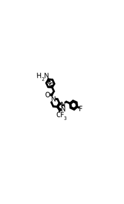 NC12CCC(CC(=O)N3CCc4c(C(F)(F)F)nn(Cc5ccc(F)cc5)c4C3)(CC1)CC2